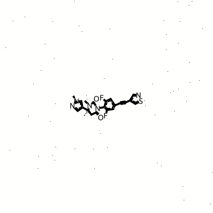 CN1C(=O)N(c2c(F)cc(C#Cc3cnsc3)cc2F)C(=O)C[C@@]1(C)c1cnn(C)c1